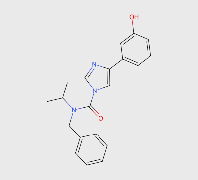 CC(C)N(Cc1ccccc1)C(=O)n1cnc(-c2cccc(O)c2)c1